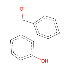 Oc1ccccc1.[O]Cc1ccccc1